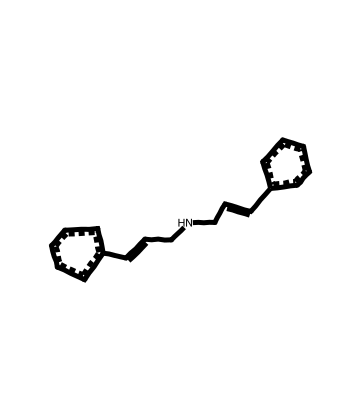 C(=Cc1ccccc1)CNCC=Cc1ccccc1